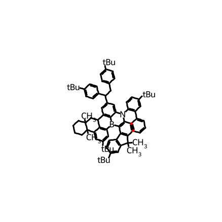 CC(C)(C)c1ccc(CC(c2ccc(C(C)(C)C)cc2)c2cc3c4c(c2)N(c2ccc(C(C)(C)C)cc2-c2ccccc2)c2ccc5c(c2B4c2cc(C(C)(C)C)cc4c2C3CC2(C)CCCCC42C)-c2ccc(C(C)(C)C)cc2C5(C)C)cc1